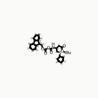 CC(C)(C)OC(=O)CC(CSc1ccccc1)NC(=O)OC(=O)OCC1c2ccccc2-c2ccccc21